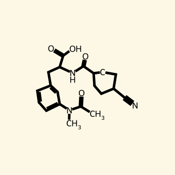 CC(=O)N(C)c1cccc(CC(NC(=O)C2CCC(C#N)CC2)C(=O)O)c1